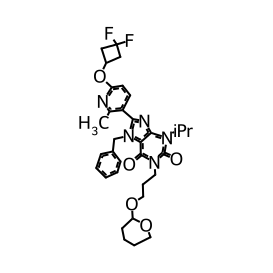 Cc1nc(OC2CC(F)(F)C2)ccc1-c1nc2c(c(=O)n(CCCOC3CCCCO3)c(=O)n2C(C)C)n1Cc1ccccc1